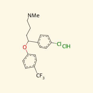 CNCCCC(Oc1ccc(C(F)(F)F)cc1)c1ccc(Cl)cc1.Cl